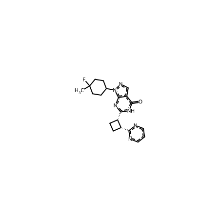 CC1(F)CCC(n2ncc3c(=O)[nH]c([C@H]4CC[C@H]4c4ncccn4)nc32)CC1